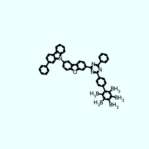 Bc1c(B)c(B)c(-c2ccc(-c3nc(-c4ccccc4)nc(-c4ccc5c(c4)oc4ccc(-n6c7ccccc7c7ccc(-c8ccccc8)cc76)cc45)n3)cc2)c(B)c1B